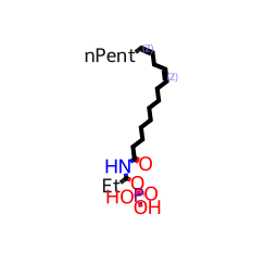 CCCCC/C=C\C/C=C\CCCCCCCC(=O)NC(CC)OP(=O)(O)O